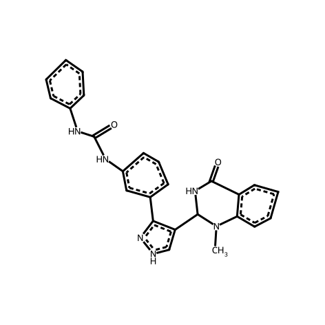 CN1c2ccccc2C(=O)NC1c1c[nH]nc1-c1cccc(NC(=O)Nc2ccccc2)c1